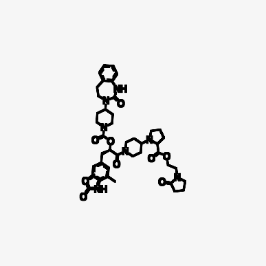 Cc1cc(C[C@@H](OC(=O)N2CCC(N3CCc4ccccc4NC3=O)CC2)C(=O)N2CCC(N3CCCC3C(=O)OCCN3CCCC3=O)CC2)cc2oc(=O)[nH]c12